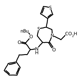 CCCCOC(=O)C(CCc1ccccc1)NC1CSC(c2ccsc2)CN(CC(=O)O)C1=O